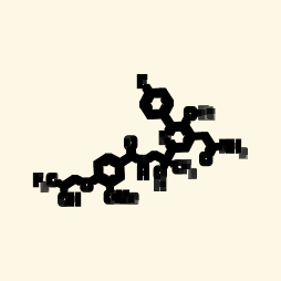 CCOc1c(CC(N)=O)cc([C@@](O)(CNC(=O)c2ccc(OC[C@@H](O)C(F)(F)F)c(OC)c2)C(F)(F)F)nc1-c1ccc(F)cc1